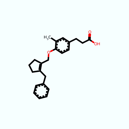 Cc1cc(CCC(=O)O)ccc1OCC1=C(Cc2ccccc2)CCC1